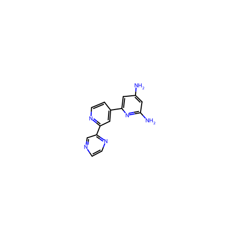 Nc1cc(N)nc(-c2ccnc(-c3cnccn3)c2)c1